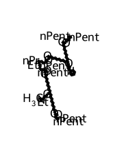 CCCCCC(CCCCC)CCOC(=O)CCCCCCCCC(CCCCCCCCC(=O)OCCC(CCCCC)CC(CCC)C(CC)CCC(CCCCC)CC(=O)OCCCCCCCCCC(CCCCCCCCCOC(=O)CC(CCCCC)CCCCC)OCCCN(C)CC)OCCCN1CCCCC1